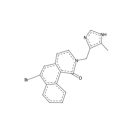 Cc1[nH]cnc1Cn1ccc2cc(Br)c3ccccc3c2c1=O